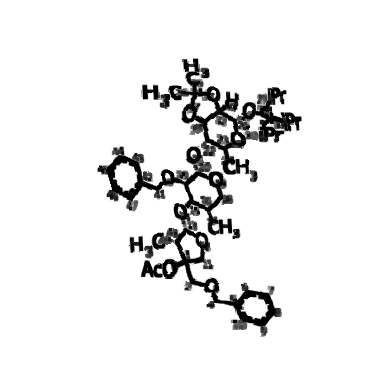 CC(=O)OC1(COCc2ccccc2)CO[C@@H](OC2[C@H](C)CO[C@@H](O[C@H]3C(C)O[C@@H](O[Si](C(C)C)(C(C)C)C(C)C)[C@H]4OC(C)(C)OC34)[C@@H]2OCc2ccccc2)[C@H]1C